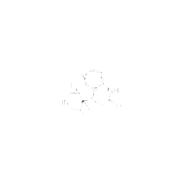 O=C1CN2c3c(cccc3[C@H]3CNCC[C@H]32)N1